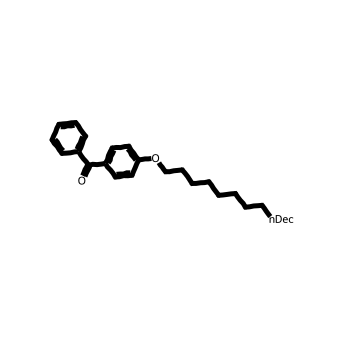 CCCCCCCCCCCCCCCCCCOc1ccc(C(=O)c2ccccc2)cc1